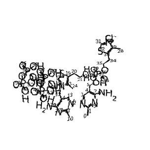 Cc1ncc(CO)c(N)n1.Cc1ncc(C[n+]2csc(CCO)c2C)c(N)n1.Cc1ncsc1CCOP(=O)(O)O.O=P(O)(O)OP(=O)(O)O.O=P(O)(O)OP(=O)(O)O.[Cl-]